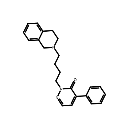 O=c1c(-c2ccccc2)ccnn1CCCCN1CCc2ccccc2C1